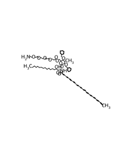 CC#CC#CC#CC#CC#CC#CC#CC#CC#CC#CC#CC#CC(=O)N[C@@H](CO[C@H]1OC(COC(=O)CCOCCOCCOCCOCCN)[C@H](OCc2ccccc2)[C@H](C)C1OCc1ccccc1)[C@H](O)[C@H](O)CCCCCCCCCCCCCC